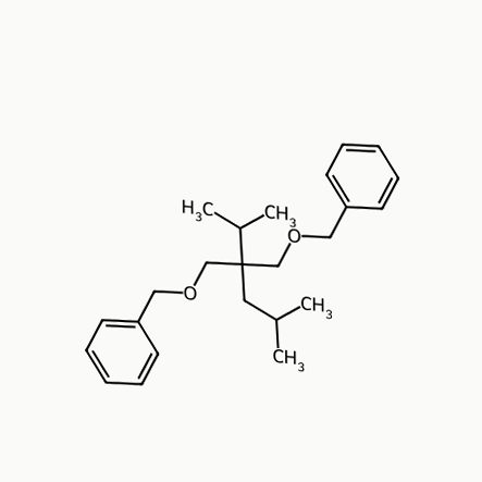 CC(C)CC(COCc1ccccc1)(COCc1ccccc1)C(C)C